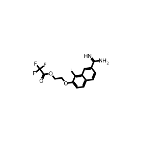 N=C(N)c1ccc2ccc(OCCOC(=O)C(F)(F)F)c(I)c2c1